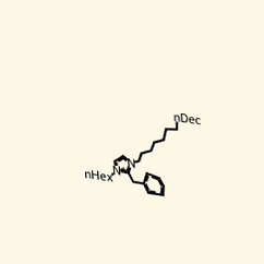 CCCCCCCCCCCCCCCCCn1cc[n+](CCCCCC)c1Cc1ccccc1